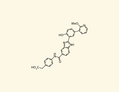 COc1ncccc1-c1ccc(O)c(-c2nc3cc(C(=O)Nc4ccc(CC(=O)O)cc4)ccc3[nH]2)c1